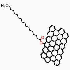 CCCCCCCCCCCCCCCCCC(=O)Oc1c2cc3c4c5c6c7c8c9c(cc%10c%11c%12c%13c%14c%15c%16c%17c(cccc%17c%17ccc%18ccc%19cc1c(c%14c%19c%18c%17%15)c(c25)c%13c6c9%11)C=C(C=%10)C%16%12)C=C1C=CC2=CC=C5C6=CC=CC(=C3)C6C=4C7C5C2C18